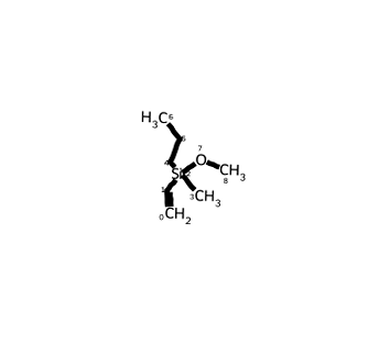 C=C[Si](C)(CCC)OC